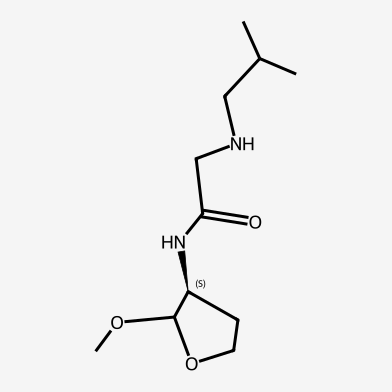 COC1OCC[C@@H]1NC(=O)CNCC(C)C